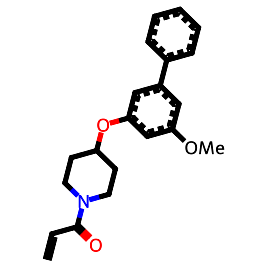 C=CC(=O)N1CCC(Oc2cc(OC)cc(-c3ccccc3)c2)CC1